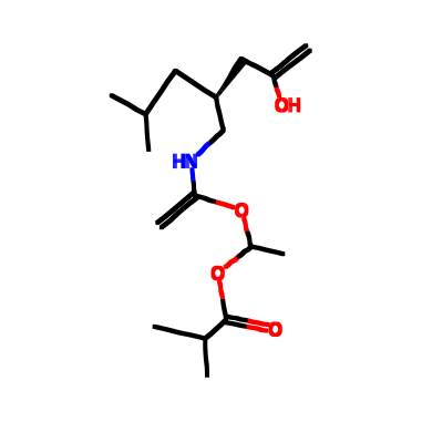 C=C(O)C[C@@H](CNC(=C)OC(C)OC(=O)C(C)C)CC(C)C